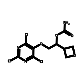 NC(=O)OC(COc1c(Cl)nc(Cl)nc1Cl)C1COC1